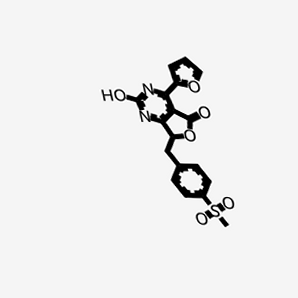 CS(=O)(=O)c1ccc(CC2OC(=O)c3c(-c4ccco4)nc(O)nc32)cc1